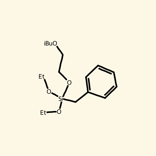 CCO[Si](Cc1ccccc1)(OCC)OCCOCC(C)C